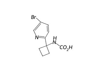 O=C(O)NC1(c2ccc(Br)cn2)CCC1